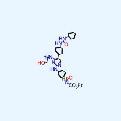 CCOC(=O)/N=[SH](=O)/c1ccc(Nc2ncc(-c3ccc(NC(=O)Nc4ccccc4)cc3)c(NC(C)CO)n2)cc1